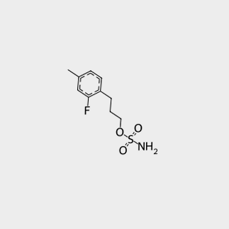 Cc1ccc(CCCOS(N)(=O)=O)c(F)c1